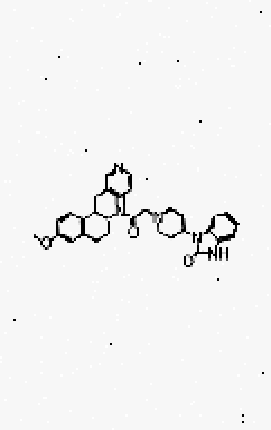 COc1ccc2c(c1)CC[C@H](NC(=O)CN1CCC(n3c(=O)[nH]c4ccccc43)CC1)[C@@H]2Cc1cccnc1